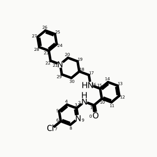 O=C(Nc1ccc(Cl)cn1)c1ccccc1NCC1CCN(Cc2ccccc2)CC1